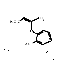 CCOC(=O)/C=C(/C)Oc1ccccc1OC